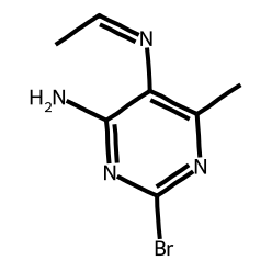 C/C=N\c1c(C)nc(Br)nc1N